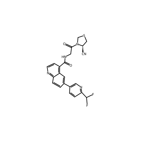 N#C[C@@H]1CSCN1C(=O)CNC(=O)c1ccnc2ccc(-c3ccc(C(F)F)nc3)cc12